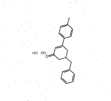 Cc1ccc(C2=CC(=O)CN(Cc3ccccc3)C2)cc1.Cl.O